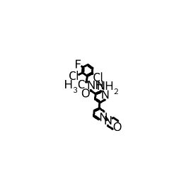 CC(NC(=O)c1cc(C2=CC=CN(N3CCOCC3)C2)cnc1N)c1c(Cl)ccc(F)c1Cl